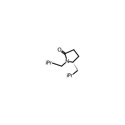 CC(C)C[C@H]1CCC(=O)N1CC(C)C